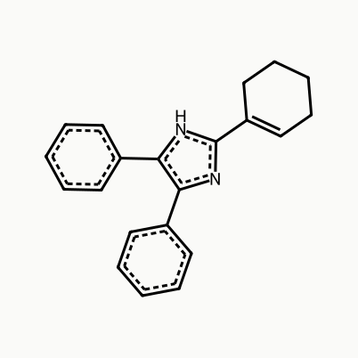 C1=C(c2nc(-c3ccccc3)c(-c3ccccc3)[nH]2)CCCC1